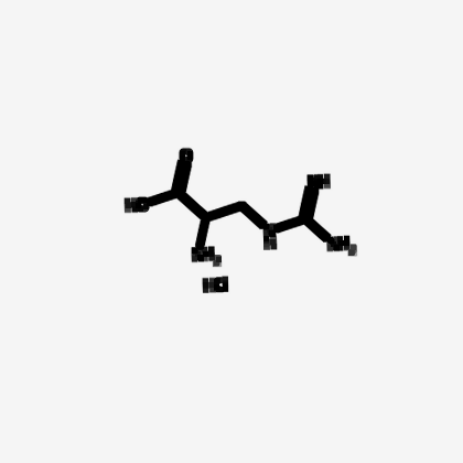 Cl.N=C(N)NCC(N)C(=O)O